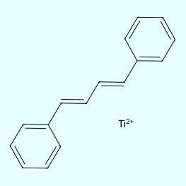 C(C=Cc1ccccc1)=Cc1ccccc1.[Ti+2]